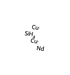 [Cu].[Cu].[Nd].[SiH4]